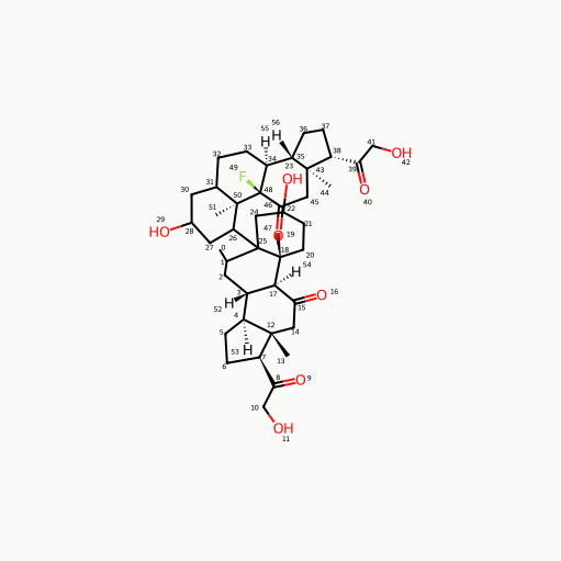 CC1C[C@H]2[C@@H]3CC[C@H](C(=O)CO)[C@@]3(C)CC(=O)[C@@H]2[C@@]2(C)CCC(O)CC12C1CC(O)CC2CC[C@H]3[C@@H]4CC[C@H](C(=O)CO)[C@@]4(C)CC(=O)[C@]3(F)[C@]21C